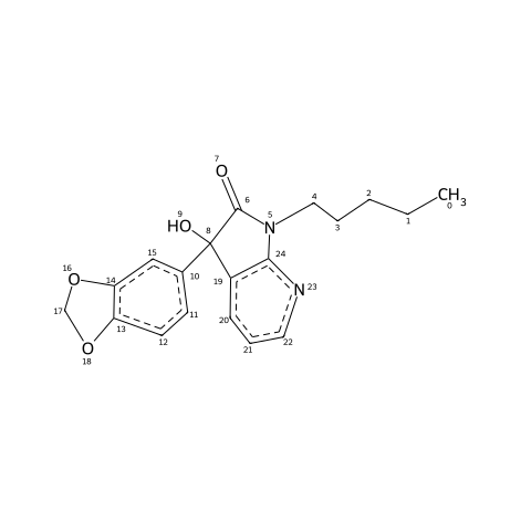 CCCCCN1C(=O)C(O)(c2ccc3c(c2)OCO3)c2cccnc21